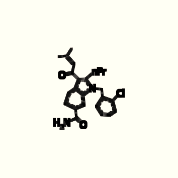 CCCc1c(C(=O)C=C(C)C)c2ccc(C(N)=O)cc2n1Cc1ccccc1Cl